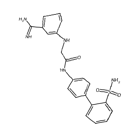 N=C(N)c1cccc(NCC(=O)Nc2ccc(-c3ccccc3S(N)(=O)=O)cc2)c1